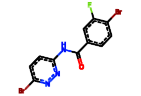 O=C(Nc1ccc(Br)nn1)c1ccc(Br)c(F)c1